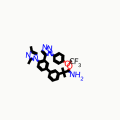 Cc1cn(-c2ccc(-c3cccc(C(C)(C)C(N)=O)c3)cc2-c2cnnn2-c2ccc(OC(F)(F)F)cc2)c(C)n1